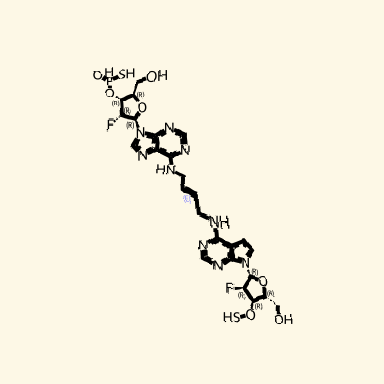 O=[PH](S)O[C@H]1[C@@H](F)[C@H](n2cnc3c(NC/C=C/CNc4ncnc5c4ccn5[C@@H]4O[C@H](CO)[C@@H](OS)[C@H]4F)ncnc32)O[C@@H]1CO